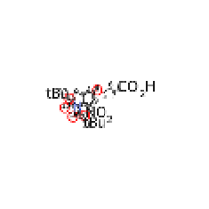 Cc1cc(OCCCC(=O)O)cc([N+](=O)[O-])c1N(C(=O)OC(C)(C)C)C(=O)OC(C)(C)C